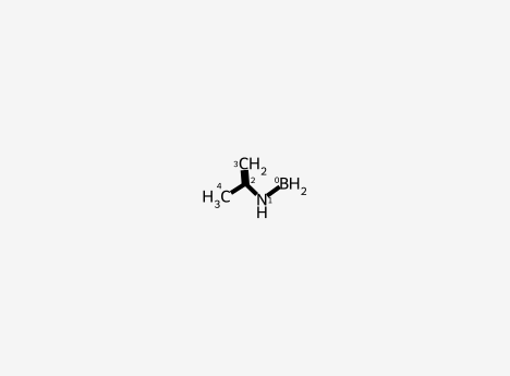 BNC(=C)C